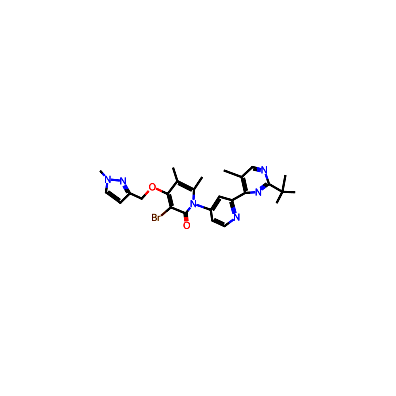 Cc1cnc(C(C)(C)C)nc1-c1cc(-n2c(C)c(C)c(OCc3ccn(C)n3)c(Br)c2=O)ccn1